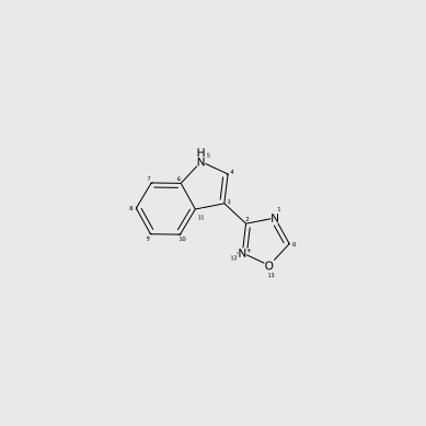 C1=NC(c2c[nH]c3ccccc23)=[N+]O1